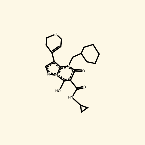 O=C(NC1CC1)c1c(O)n2ncc(C3=CCOCC3)c2n(CC2CCCCC2)c1=O